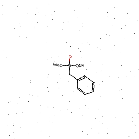 CO[Si](Br)(Cc1ccccc1)OC